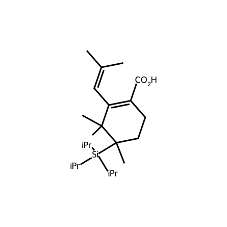 CC(C)=CC1=C(C(=O)O)CCC(C)([Si](C(C)C)(C(C)C)C(C)C)C1(C)C